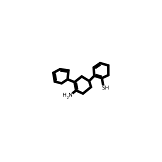 NC1=C(C2C=CC=CC2)CC(C2=C(S)CCC=C2)CC1